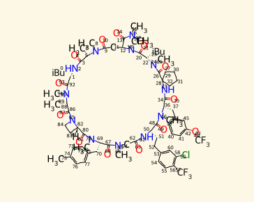 CC[C@H](C)[C@@H]1NC(=O)[C@H](C)N(C)C(=O)C[C@@H](C(=O)N(C)C)N(C)C(=O)[C@H]([C@@H](C)CC)N(C)C(=O)C2(CCCC2)NC(=O)[C@H](Cc2cccc(OC(F)(F)F)c2)N(C)C(=O)[C@H](CCc2ccc(C(F)(F)F)c(Cl)c2)NC(=O)CN(C)C(=O)[C@H](Cc2ccc(C)cc2)N(C)C(=O)[C@@H]2CCN2C(=O)[C@H](C)N(C)C1=O